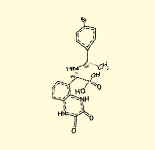 C[C@H](N[C@@H](c1cccc2[nH]c(=O)c(=O)[nH]c12)P(=O)(O)O)c1ccc(Br)cc1